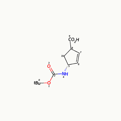 CC(C)(C)OC(=O)N[C@H]1C=CC(C(=O)O)C1